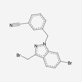 N#Cc1cccc(Cn2nc(CBr)c3ccc(Br)cc32)c1